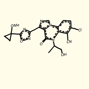 COC1(c2nc(-c3ncn4c3c(=O)n(C(C)CO)c3c(C#N)c(Cl)ccc34)no2)CC1